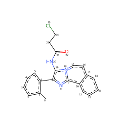 Cc1ccccc1-c1nc2c3ccccc3ccn2c1NC(=O)CCCl